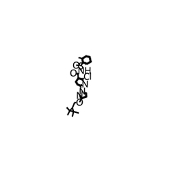 Cc1ccccc1[S+]([O-])NC(=O)c1ccc(-n2ccc(OCC3C(C)(C)C3(C)C)n2)nc1Cl